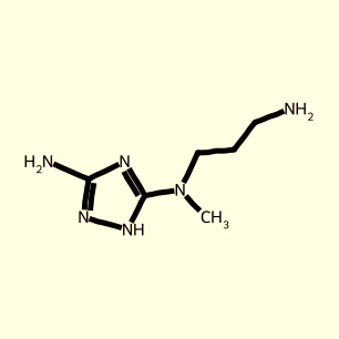 CN(CCCN)c1nc(N)n[nH]1